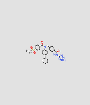 CS(=O)(=O)c1ccc(C(=O)N(Cc2ccc(C(=O)Nc3nn[nH]n3)cc2)c2ccc(C3CCCCC3)cc2)cc1